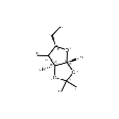 CC[C@H]1O[C@@H]2OC(C)(C)O[C@H]2C1C